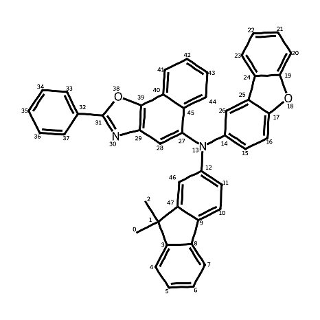 CC1(C)c2ccccc2-c2ccc(N(c3ccc4oc5ccccc5c4c3)c3cc4nc(-c5ccccc5)oc4c4ccccc34)cc21